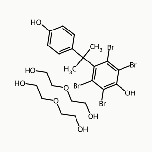 CC(C)(c1ccc(O)cc1)c1c(Br)c(Br)c(O)c(Br)c1Br.OCCOCCO.OCCOCCO